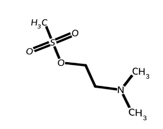 CN(C)CCOS(C)(=O)=O